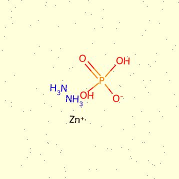 N.N.O=P([O-])(O)O.[Zn+]